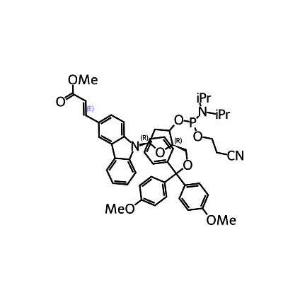 COC(=O)/C=C/c1ccc2c(c1)c1ccccc1n2[C@H]1CC(OP(OCCC#N)N(C(C)C)C(C)C)[C@@H](COC(c2ccccc2)(c2ccc(OC)cc2)c2ccc(OC)cc2)O1